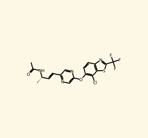 CC(=O)N[C@@H](C)/C=C/c1cnc(Oc2ccc3nc(C(F)(F)F)sc3c2Cl)cn1